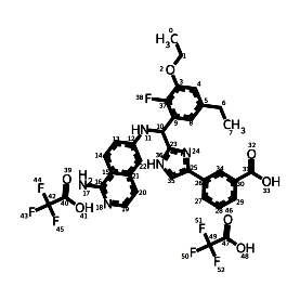 CCOc1cc(CC)cc(C(Nc2ccc3c(N)nccc3c2)c2nc(-c3cccc(C(=O)O)c3)c[nH]2)c1F.O=C(O)C(F)(F)F.O=C(O)C(F)(F)F